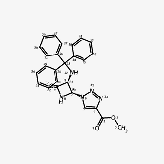 COC(=O)c1cn([C@H]2NC(=O)[C@H]2NC(c2ccccc2)(c2ccccc2)c2ccccc2)nn1